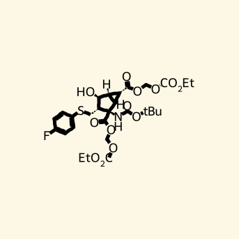 CCOC(=O)OCOC(=O)[C@H]1[C@@H]2[C@H](O)[C@@H](CSc3ccc(F)cc3)[C@@](NC(=O)OC(C)(C)C)(C(=O)OCOC(=O)OCC)[C@H]12